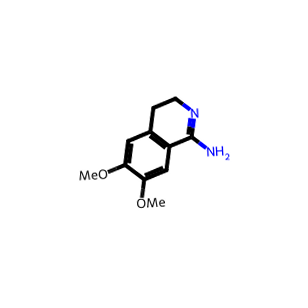 COc1cc2c(cc1OC)C(N)=NCC2